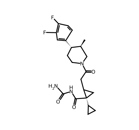 C[C@H]1CN(C(=O)CC2C[C@]2(C(=O)NC(N)=O)C2CC2)CC[C@@H]1c1ccc(F)c(F)c1